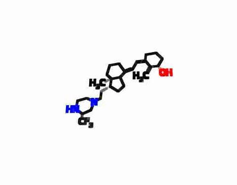 C=C1/C(=C\C=C2/CCC[C@@]3(C)C2CC[C@@H]3CCN2CCNC(C(F)(F)F)C2)CCC[C@@H]1O